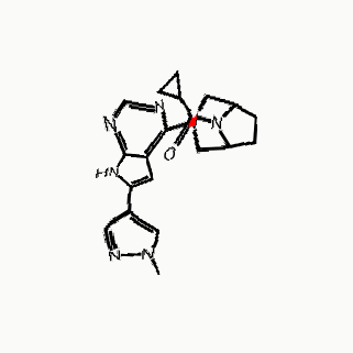 Cn1cc(-c2cc3c(N4CC5CCC(C4)N5C(=O)C4CC4)ncnc3[nH]2)cn1